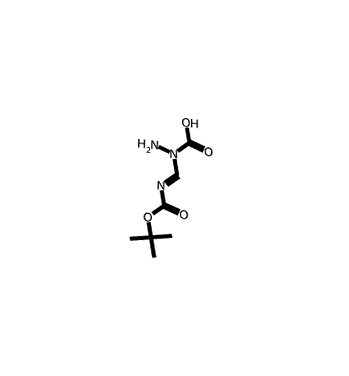 CC(C)(C)OC(=O)N=CN(N)C(=O)O